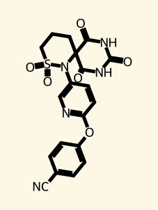 N#Cc1ccc(Oc2ccc(N3C4(CCCS3(=O)=O)C(=O)NC(=O)NC4=O)cn2)cc1